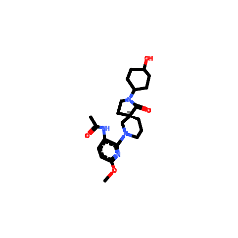 COc1ccc(NC(C)=O)c(N2CCC[C@]3(CCN(C4CCC(O)CC4)C3=O)C2)n1